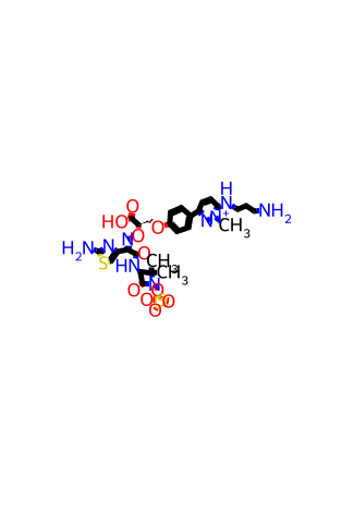 C[n+]1nc(-c2ccc(OC[C@H](O/N=C(\C(=O)N[C@@H]3C(=O)N(OS(=O)(=O)[O-])C3(C)C)c3csc(N)n3)C(=O)O)cc2)ccc1NCCCN